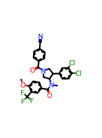 COc1ccc(C(=O)N(C)C2CN(C(=O)c3ccc(C#N)cc3)CC2c2ccc(Cl)c(Cl)c2)cc1C(F)(F)F